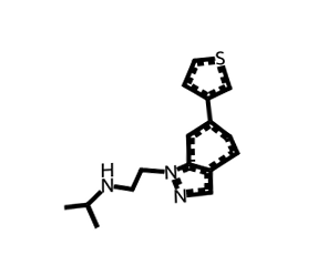 CC(C)NCCn1ncc2ccc(-c3ccsc3)cc21